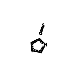 O=S.c1cscn1